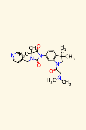 CN(C)CC(=O)N1CC(C)(C)c2ccc(N3C(=O)N(Cc4ccncc4)C(C)(C)C3=O)cc21